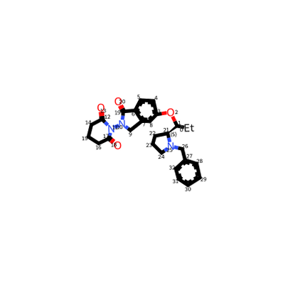 CCC(Oc1ccc2c(c1)CN(N1C(=O)CCCC1=O)C2=O)[C@@H]1CCCN1Cc1ccccc1